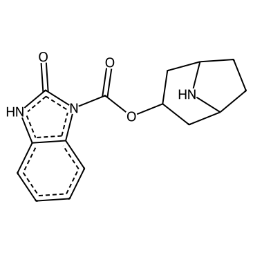 O=C(OC1CC2CCC(C1)N2)n1c(=O)[nH]c2ccccc21